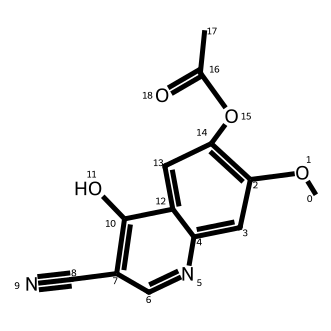 COc1cc2ncc(C#N)c(O)c2cc1OC(C)=O